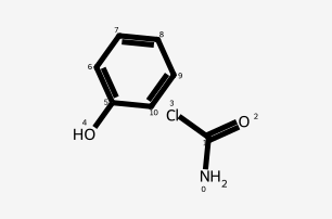 NC(=O)Cl.Oc1ccccc1